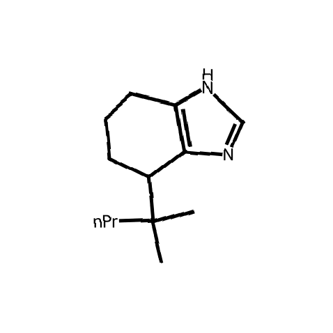 CCCC(C)(C)C1CCCc2[nH]cnc21